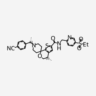 CCS(=O)(=O)c1ccc(CNC(=O)c2cc3c(s2)C2(CCN([C@@H](C)c4ccc(C#N)cc4)CC2)OC[C@H]3C)nc1